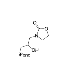 CCCC(C)CC(O)CN1CCOC1=O